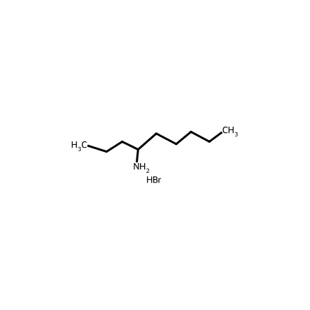 Br.CCCCCC(N)CCC